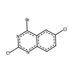 Clc1ccc2nc(Cl)nc(Br)c2c1